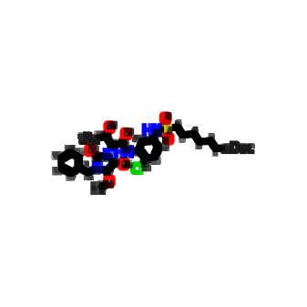 CCCCCCCCCCCCCCCCS(=O)(=O)Nc1ccc(Cl)c(NC(=O)C(C(=O)C(C)(C)C)N2C(=O)C(OCC)N(Cc3ccccc3)C2=O)c1